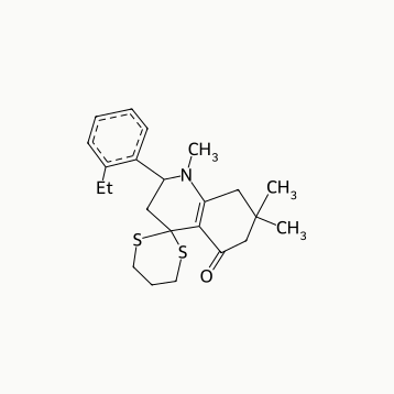 CCc1ccccc1C1CC2(SCCCS2)C2=C(CC(C)(C)CC2=O)N1C